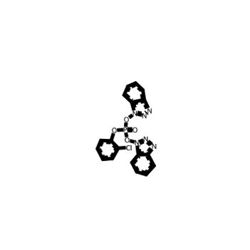 O=P(Oc1ccccc1Cl)(On1nnc2ccccc21)On1nnc2ccccc21